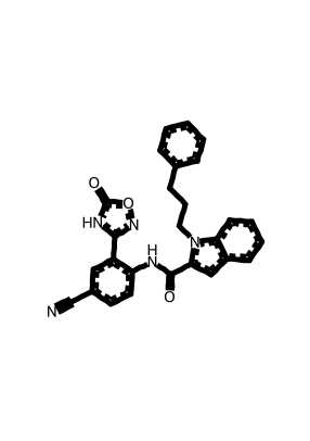 N#Cc1ccc(NC(=O)c2cc3ccccc3n2CCCc2ccccc2)c(-c2noc(=O)[nH]2)c1